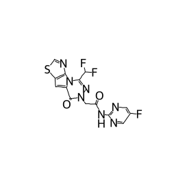 O=C(Cn1nc(C(F)F)n2c(cc3scnc32)c1=O)Nc1ncc(F)cn1